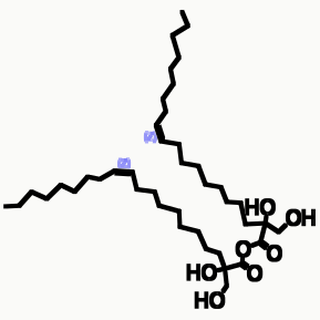 CCCCCCCC/C=C\CCCCCCCCC(O)(CO)C(=O)OC(=O)C(O)(CO)CCCCCCCC/C=C\CCCCCCCC